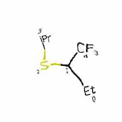 CCC(SC(C)C)C(F)(F)F